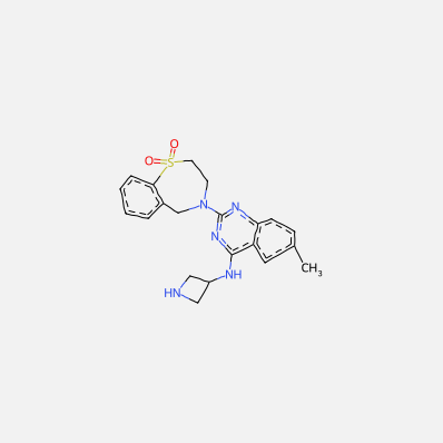 Cc1ccc2nc(N3CCS(=O)(=O)c4ccccc4C3)nc(NC3CNC3)c2c1